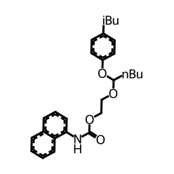 CCCCC(OCCOC(=O)Nc1cccc2ccccc12)Oc1ccc(C(C)CC)cc1